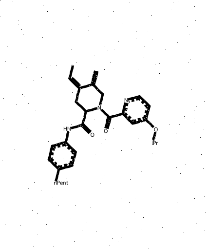 C=C1CN(C(=O)c2cc(OC(C)C)ccn2)C(C(=O)Nc2ccc(CCCCC)cc2)C/C1=C/C